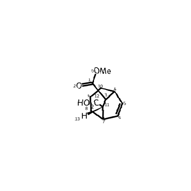 COC(=O)C1C2C=CC(CCC2)[C@@H]1C(=O)O